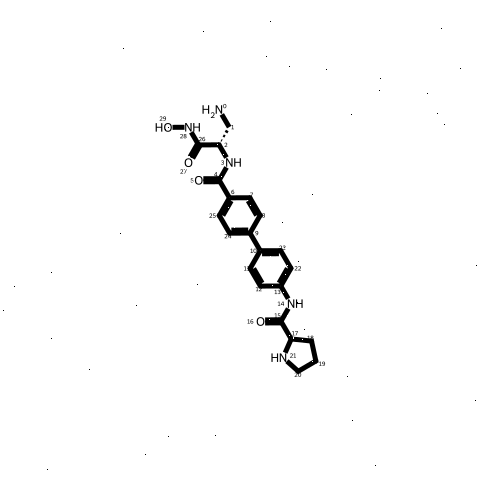 NC[C@H](NC(=O)c1ccc(-c2ccc(NC(=O)C3CCCN3)cc2)cc1)C(=O)NO